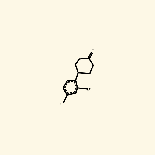 CCc1cc(Cl)ccc1C1CCC(=O)CC1